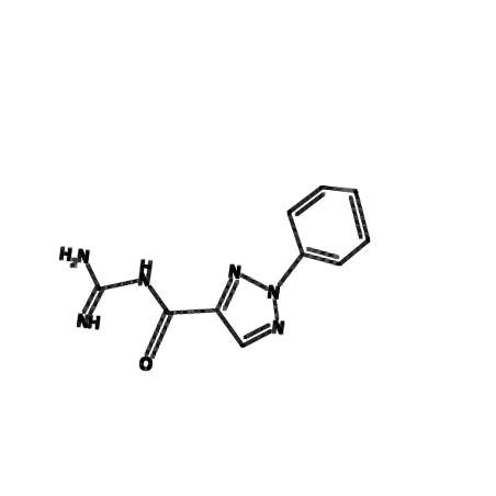 N=C(N)NC(=O)c1cnn(-c2ccccc2)n1